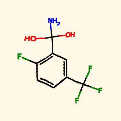 NC(O)(O)c1cc(C(F)(F)F)ccc1F